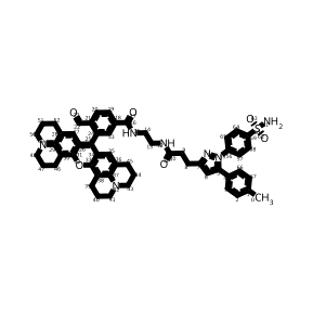 Cc1ccc(-c2cc(CCC(=O)NCCNC(=O)c3ccc(C=O)c(C4=c5cc6c7c(c5Oc5c4cc4c8c5CCCN8CCC4)CCC[N+]=7CCC6)c3)nn2-c2ccc(S(N)(=O)=O)cc2)cc1